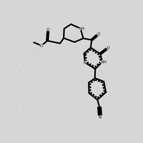 COC(=O)CC1CCNC(C(=O)c2cnc(-c3ccc(C#N)cc3)[nH]c2=O)C1